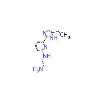 CCc1cnc(-c2cccc(NCCN)n2)[nH]1